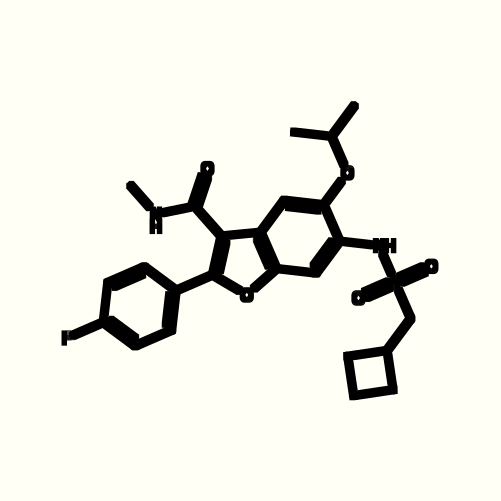 CNC(=O)c1c(-c2ccc(F)cc2)oc2cc(NS(=O)(=O)CC3CCC3)c(OC(C)C)cc12